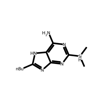 CCCCc1nc2nc([SiH](C)C)nc(N)c2[nH]1